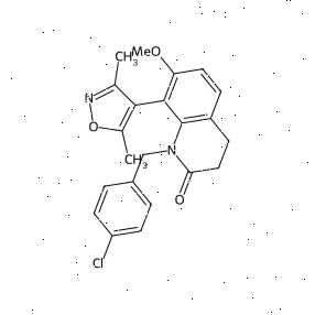 COc1ccc2c(c1-c1c(C)noc1C)N(Cc1ccc(Cl)cc1)C(=O)CC2